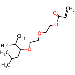 C=CC(=O)OCCOCCOC(CC(C)C)C(C)C